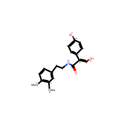 COc1ccc(CCNC(=O)C(=CO)c2ccc(Br)cc2)cc1OC